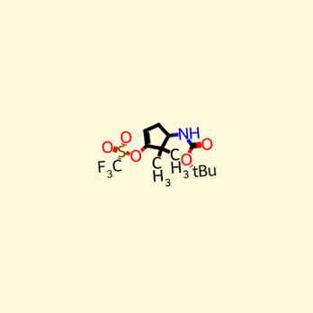 CC(C)(C)OC(=O)NC1CC=C(OS(=O)(=O)C(F)(F)F)C1(C)C